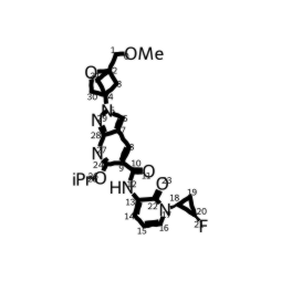 COCC12CC(n3cc4cc(C(=O)Nc5cccn([C@H]6C[C@H]6F)c5=O)c(OC(C)C)nc4n3)(CO1)C2